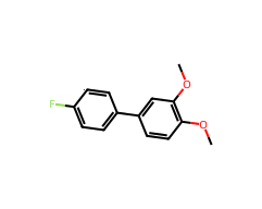 COc1ccc(-c2c[c]c(F)cc2)cc1OC